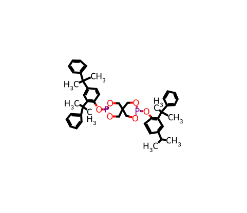 CC(C)c1ccc(OP2OCC3(CO2)COP(Oc2ccc(C(C)(C)c4ccccc4)cc2C(C)(C)c2ccccc2)OC3)c(C(C)(C)c2ccccc2)c1